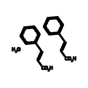 O.O=C(O)C=Cc1ccccc1.O=C(O)C=Cc1ccccc1